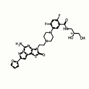 Nc1nc2c(sc(=O)n2CCN2CCN(c3cc(C(=O)NC[C@H](O)CO)c(F)cc3F)CC2)c2cc(-c3ccco3)nn12